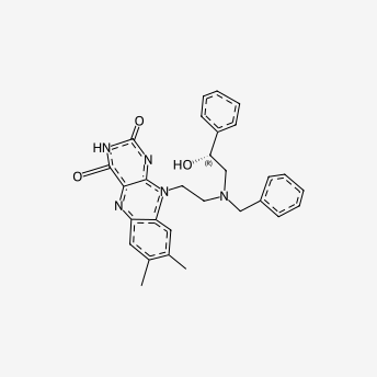 Cc1cc2nc3c(=O)[nH]c(=O)nc-3n(CCN(Cc3ccccc3)C[C@H](O)c3ccccc3)c2cc1C